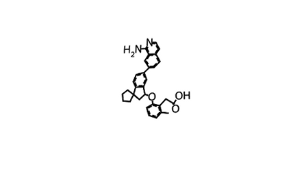 Cc1cccc(OC2CC3(CCCC3)c3ccc(-c4ccc5ccnc(N)c5c4)cc32)c1CC(=O)O